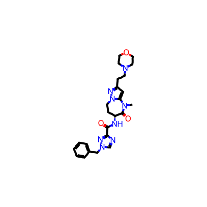 CN1C(=O)[C@@H](NC(=O)c2ncn(Cc3ccccc3)n2)CCn2nc(CCN3CCOCC3)cc21